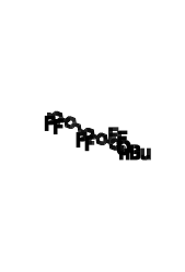 CCCCOc1ccc(C2=CCC(c3ccc(CCC4CC=C(c5ccc(C)c(F)c5F)CC4)c(F)c3F)CC2)c(F)c1F